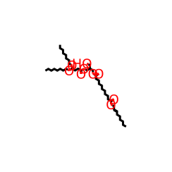 CCCCCCC=CCOC(=O)CCCCCCCCCC(=O)OCC(CO)COC(=O)CCC(OCCCCCCCC)OCCCCCCCC